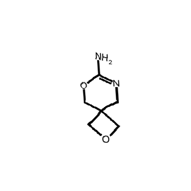 NC1=NCC2(COC2)CO1